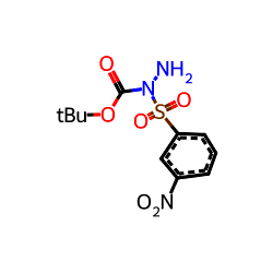 CC(C)(C)OC(=O)N(N)S(=O)(=O)c1cccc([N+](=O)[O-])c1